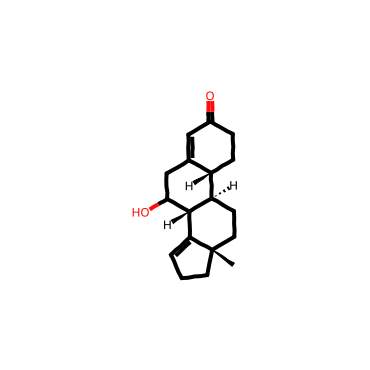 C[C@@]12CCC=C1[C@@H]1C(O)CC3=CC(=O)CC[C@@H]3[C@H]1CC2